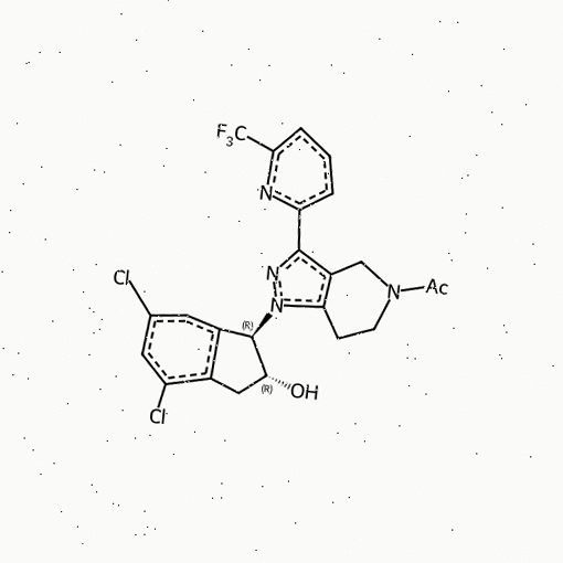 CC(=O)N1CCc2c(c(-c3cccc(C(F)(F)F)n3)nn2[C@@H]2c3cc(Cl)cc(Cl)c3C[C@H]2O)C1